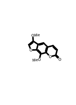 COc1coc2c(OC)c3oc(=O)ccc3cc12